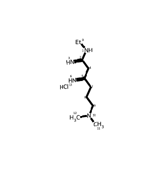 CCNC(=N)CC(=N)CCCN(C)C.Cl